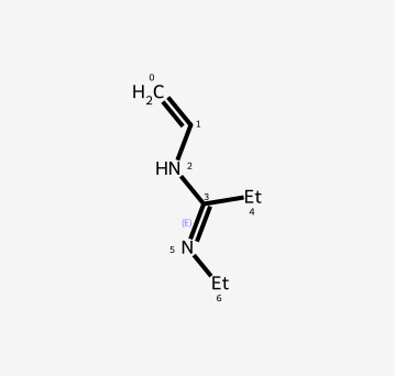 C=CN/C(CC)=N/CC